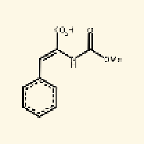 COC(=O)NC(=Cc1ccccc1)C(=O)O